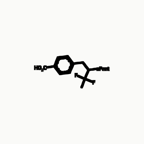 CCCCCC(Cc1ccc(C(=O)O)cc1)C(C)(F)F